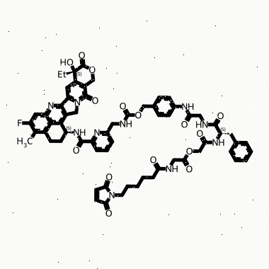 CC[C@@]1(O)C(=O)OCc2c1cc1n(c2=O)Cc2c-1nc1cc(F)c(C)c3c1c2[C@@H](NC(=O)c1cccc(CNC(=O)OCc2ccc(NC(=O)CNC(=O)[C@H](Cc4ccccc4)NC(=O)COC(=O)CNC(=O)CCCCCN4C(=O)C=CC4=O)cc2)n1)CC3